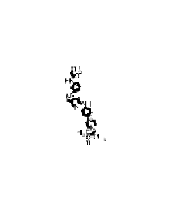 C=CC(=O)Nc1cccc(-n2ncc3cnc(Nc4ccc(N5CCN(CC(C)(C)O)CC5)cc4)cc32)c1